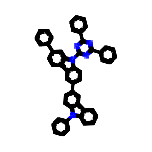 c1ccc(-c2ccc3c4cc(-c5ccc6c(c5)c5ccccc5n6-c5ccccc5)ccc4n(-c4nc(-c5ccccc5)nc(-c5ccccc5)n4)c3c2)cc1